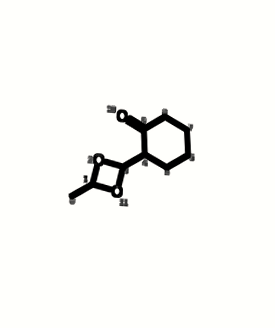 CC1OC(C2CCCCC2=O)O1